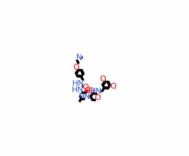 CCC(NC(=O)[C@H](CC(C)C)NC(=O)NCc1ccc(OCCN(C)C)cc1)C(=O)C(=O)NCc1cc(OC)cc(OC)c1